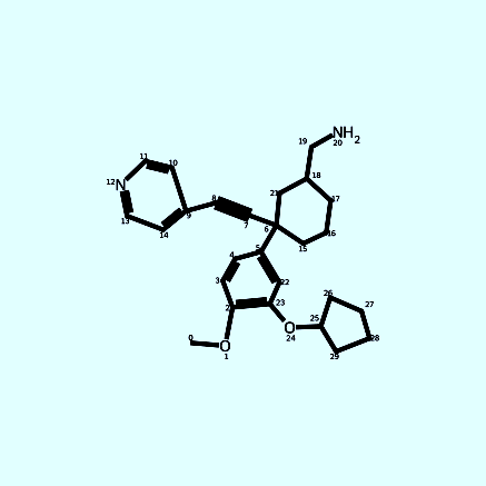 COc1ccc(C2(C#Cc3ccncc3)CCCC(CN)C2)cc1OC1CCCC1